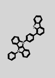 c1ccc(-n2c3ccccc3c3c2c2ccccc2n3-c2ccc(-c3cccc4c3sc3ccccc34)cc2)cc1